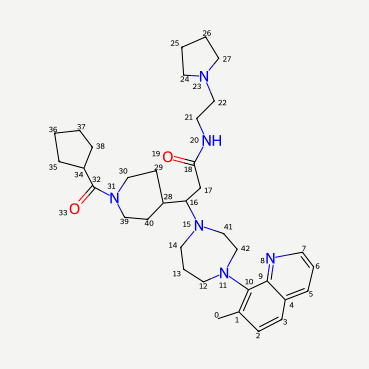 Cc1ccc2cccnc2c1N1CCCN(C(CC(=O)NCCN2CCCC2)C2CCN(C(=O)C3CCCC3)CC2)CC1